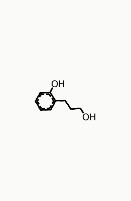 OCCCc1ccccc1O